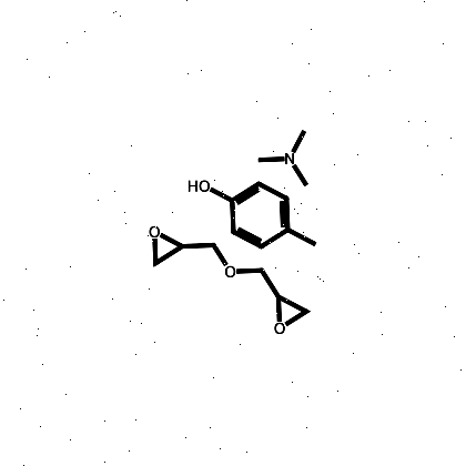 C(OCC1CO1)C1CO1.CN(C)C.Cc1ccc(O)cc1